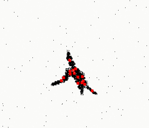 CCCCCCCCOc1ccc(-c2cc(F)c(C(=O)Oc3ccc4cc(-c5ccc([C@H]6CC[C@H](CCC)CC6)cc5)ccc4c3-c3c(OC(=O)c4c(F)cc(-c5ccc(OCCCCCCCC)cc5)cc4F)ccc4cc(-c5ccc([C@H]6CC[C@H](CCC)CC6)cc5)ccc34)c(F)c2)cc1